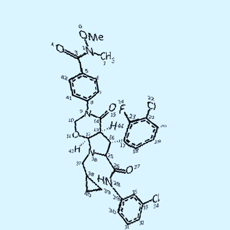 CON(C)C(=O)c1ccc(N2CO[C@H]3[C@@H](C2=O)[C@H](c2cccc(Cl)c2F)C(C(=O)Nc2cccc(Cl)c2)N3CC2CC2)cc1